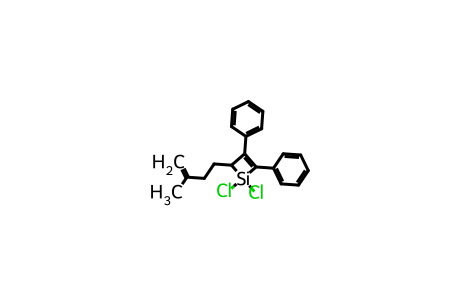 C=C(C)CCC1C(c2ccccc2)=C(c2ccccc2)[Si]1(Cl)Cl